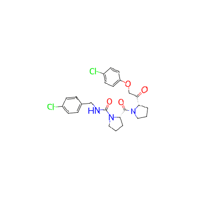 O=C(COc1ccc(Cl)cc1)[C@@H]1CCCN1C(=O)[C@@H]1CCCN1C(=O)NCc1ccc(Cl)cc1